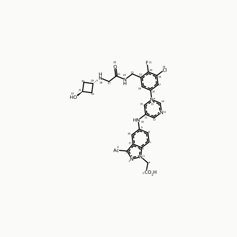 CC(=O)c1nn(CC(=O)O)c2ccc(Nc3cnc[n+](-c4cc(Cl)c(F)c(CNC(=O)CN[C@H]5C[C@H](O)C5)c4)c3)cc12